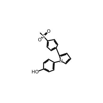 CS(=O)(=O)c1ccc(-c2cccn2-c2ccc(O)cc2)cc1